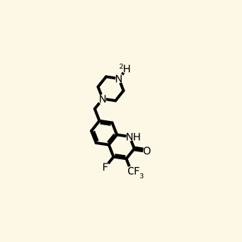 [2H]N1CCN(Cc2ccc3c(F)c(C(F)(F)F)c(=O)[nH]c3c2)CC1